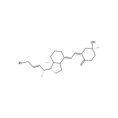 C=C1CC[C@](C)(O)C/C1=C/C=C1\CCC[C@@]2(C)C1CC[C@@H]2[C@H](C)/C=C/CC(C)C